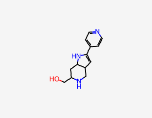 OCC1CC2NC(c3ccncc3)=CC2CN1